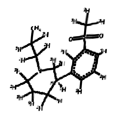 [2H]c1c([2H])c([C@]2([2H])C([2H])([2H])N(C([2H])([2H])C([2H])([2H])C)C([2H])([2H])C([2H])([2H])C2([2H])[2H])c([2H])c(S(=O)(=O)C([2H])([2H])[2H])c1[2H]